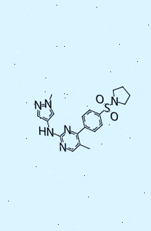 Cc1cnc(Nc2cnn(C)c2)nc1-c1ccc(S(=O)(=O)N2CCCC2)cc1